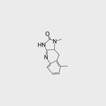 Cc1cccc2c1CC1C(=N2)NC(=O)N1C